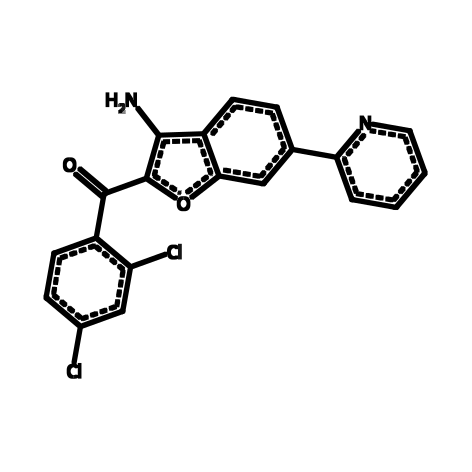 Nc1c(C(=O)c2ccc(Cl)cc2Cl)oc2cc(-c3ccccn3)ccc12